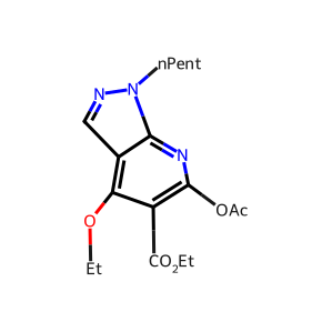 CCCCCn1ncc2c(OCC)c(C(=O)OCC)c(OC(C)=O)nc21